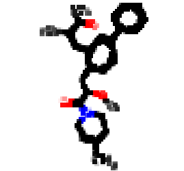 CCCCC(Cc1cc(-c2ccccc2)ccc1CC(OCC)C(=O)N1CCC(C)CC1)C(=O)NC